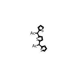 CC(=O)C(c1cccs1)c1ccc(C(C(C)=O)c2cccs2)s1